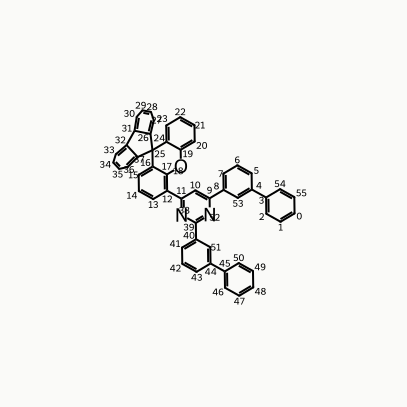 c1ccc(-c2cccc(-c3cc(-c4cccc5c4Oc4ccccc4C54c5ccccc5-c5ccccc54)nc(-c4cccc(-c5ccccc5)c4)n3)c2)cc1